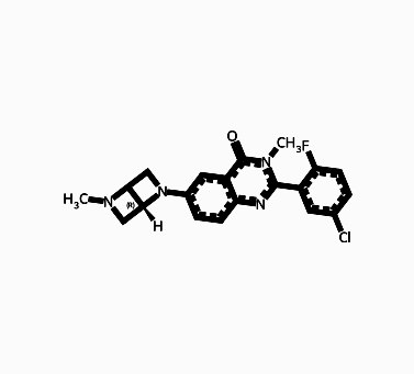 CN1C[C@@H]2C1CN2c1ccc2nc(-c3cc(Cl)ccc3F)n(C)c(=O)c2c1